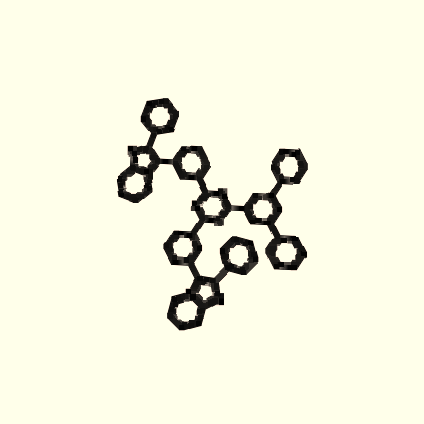 c1ccc(-c2cc(-c3ccccc3)cc(-c3nc(-c4cccc(-c5c(-c6ccccc6)nc6ccccn56)c4)nc(-c4cccc(-c5c(-c6ccccc6)nc6ccccn56)c4)n3)c2)cc1